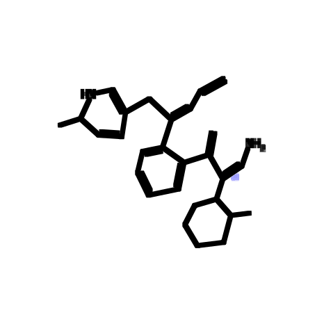 C=CC=C(CC1=CNC(C)C=C1)c1ccccc1C(=C)/C(=C\N)C1CCCCC1C